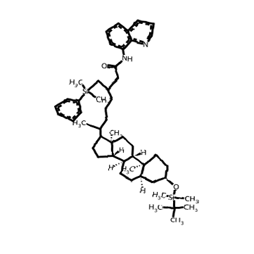 CC(CCCC(CC(=O)Nc1cccc2cccnc12)C[Si](C)(C)c1ccccc1)C1CC[C@H]2[C@@H]3CC[C@@H]4C[C@H](O[Si](C)(C)C(C)(C)C)CC[C@]4(C)[C@H]3CC[C@]12C